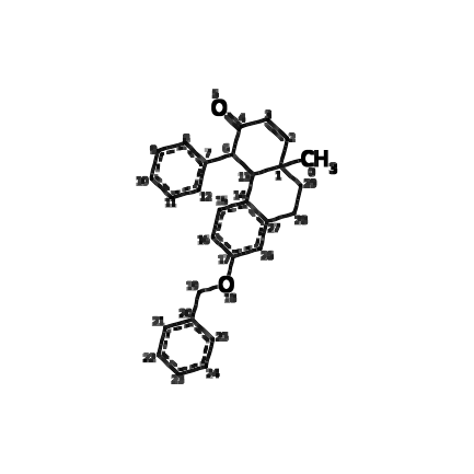 CC12C=CC(=O)C(c3ccccc3)C1c1ccc(OCc3ccccc3)cc1CC2